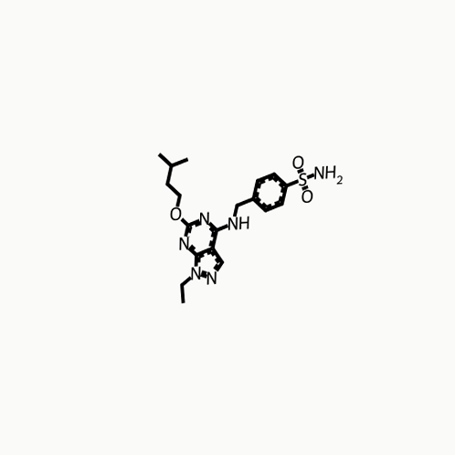 CCn1ncc2c(NCc3ccc(S(N)(=O)=O)cc3)nc(OCCC(C)C)nc21